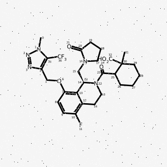 Cn1nnc(COc2ccc(F)c3c2[C@@H](CN2CCCC2=O)N(C(=O)C2CCCCC2(C)C(=O)O)CC3)c1C(F)(F)F